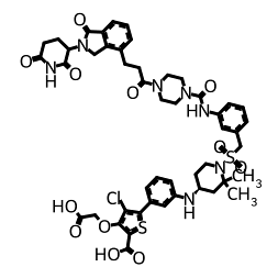 CC1(C)C[C@@H](Nc2cccc(-c3sc(C(=O)O)c(OCC(=O)O)c3Cl)c2)CCN1S(=O)(=O)Cc1cccc(NC(=O)N2CCN(C(=O)CCc3cccc4c3CN(C3CCC(=O)NC3=O)C4=O)CC2)c1